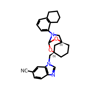 N#Cc1ccc2ncn(C[C@@]34CCC[C@@]5(CN(c6cccc7c6CCCC7)C(O5)O3)C4)c2c1